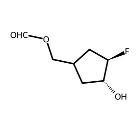 O=COCC1C[C@@H](O)[C@H](F)C1